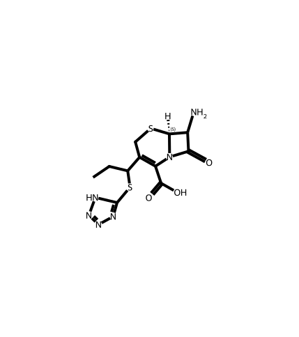 CCC(Sc1nnn[nH]1)C1=C(C(=O)O)N2C(=O)C(N)[C@@H]2SC1